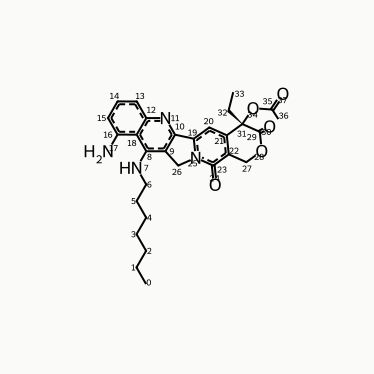 CCCCCCCNc1c2c(nc3cccc(N)c13)-c1cc3c(c(=O)n1C2)COC(=O)[C@@]3(CC)OC(C)=O